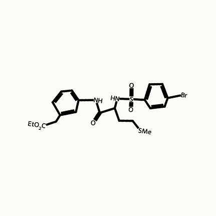 CCOC(=O)Cc1cccc(NC(=O)C(CCSC)NS(=O)(=O)c2ccc(Br)cc2)c1